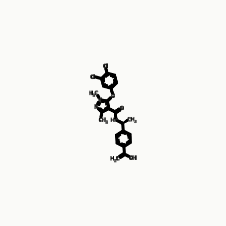 C=C(O)c1ccc([C@H](C)NC(=O)c2c(C)nn(C)c2Oc2ccc(Cl)c(Cl)c2)cc1